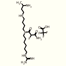 CC(N)CCNCCCCN(CCCCCCNC(=N)N)C(=O)C(F)C(N)=O.O=C(O)C(F)(F)F